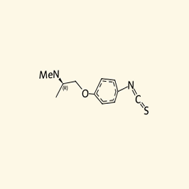 CN[C@H](C)COc1ccc(N=C=S)cc1